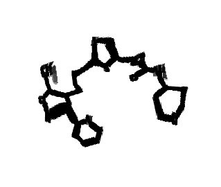 Cc1onc(-c2ccccn2)c1CCc1ncc(OC(=O)NC2CCOCC2)s1